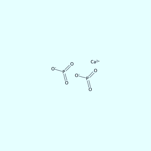 O=P(=O)[O-].O=P(=O)[O-].[Ca+2]